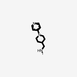 INCC1CCN(c2ccncc2)CC1